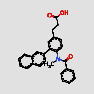 CN(C(=O)c1ccccc1)c1ccc(CCC(=O)O)cc1-c1ccc2ccccc2c1